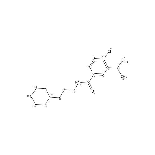 CC(C)c1cc(C(=O)NCCCN2CCOCC2)ccc1Cl